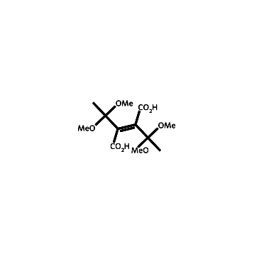 COC(C)(OC)C(C(=O)O)=C(C(=O)O)C(C)(OC)OC